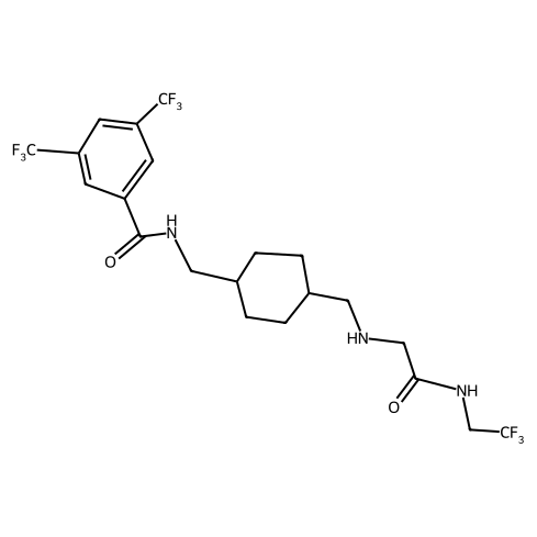 O=C(CNCC1CCC(CNC(=O)c2cc(C(F)(F)F)cc(C(F)(F)F)c2)CC1)NCC(F)(F)F